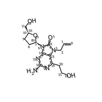 C=CCn1c(=O)n([C@H]2CC[C@@H](CO)O2)c2nc(N)nc(CCO)c21